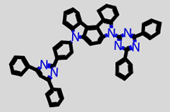 C1=Cc2c(c3c4c5ccccc5n(C5C=CC(c6nc(-c7ccccc7)cc(-c7ccccc7)n6)=CC5)c4ccc3n2-c2nc(-c3ccccc3)nc(-c3ccccc3)n2)CC1